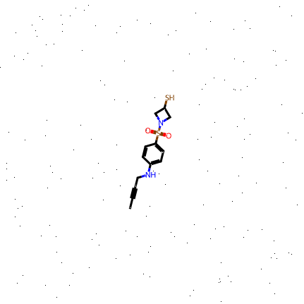 CC#CCNc1ccc(S(=O)(=O)N2CC(S)C2)cc1